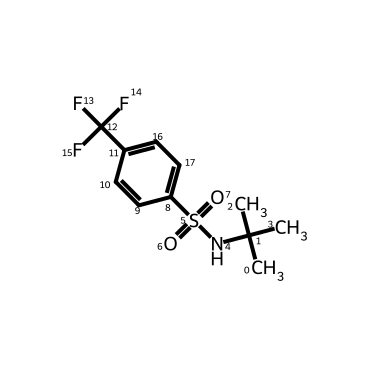 CC(C)(C)NS(=O)(=O)c1ccc(C(F)(F)F)cc1